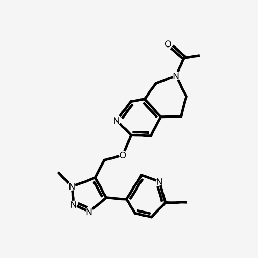 CC(=O)N1CCc2cc(OCc3c(-c4ccc(C)nc4)nnn3C)ncc2C1